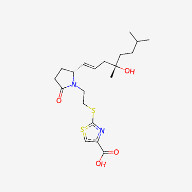 CC(C)CC[C@](C)(O)CC=C[C@H]1CCC(=O)N1CCSc1nc(C(=O)O)cs1